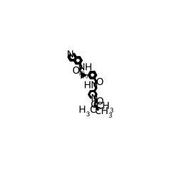 CC(C)(C)OC(=O)N1CCCC(CNC(=O)c2cccc([C@@H]3C[C@H]3C(=O)Nc3ccc4cnccc4c3)c2)C1